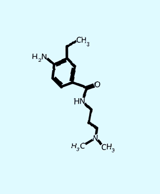 CCc1cc(C(=O)NCCCN(C)C)ccc1N